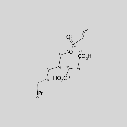 C=CC(=O)OCCCCCC(C)C.O=C(O)CCC(=O)O